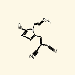 CCCn1c(Br)ccc1C=C(C#N)C#N